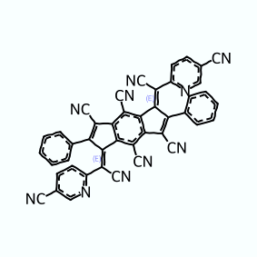 N#CC1=C(c2ccccc2)/C(=C(/C#N)c2ccc(C#N)cn2)c2c(C#N)c3c(c(C#N)c21)/C(=C(\C#N)c1ccc(C#N)cn1)C(c1ccccc1)=C3C#N